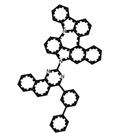 c1ccc(-c2cccc(-c3nc(-n4c5cc6ccccc6c6c7cccc8c9ccccc9n(c9cccc4c9c65)c87)nc4c3ccc3ccccc34)c2)cc1